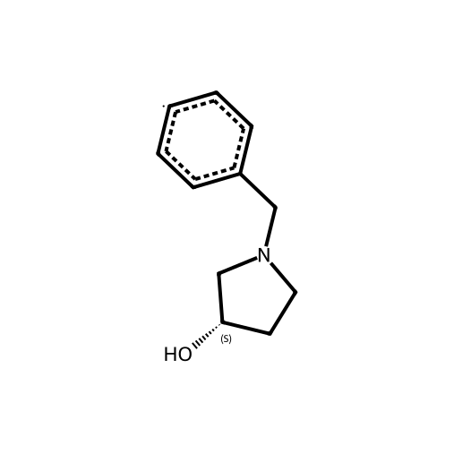 O[C@H]1CCN(Cc2cc[c]cc2)C1